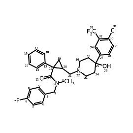 CN(Cc1ccc(F)cc1)C(=O)C1(c2ccccc2)CC1CN1CCC(O)(c2ccc(Cl)c(C(F)(F)F)c2)CC1